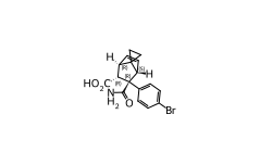 NC(=O)[C@@]1(c2ccc(Br)cc2)[C@H](C(=O)O)[C@H]2C=C[C@H]1C21CC1